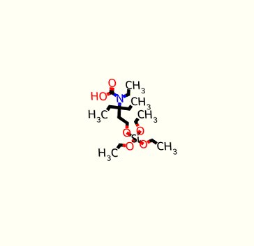 CCO[Si](OCC)(OCC)OCCC(CC)(CC)N(CC)C(=O)O